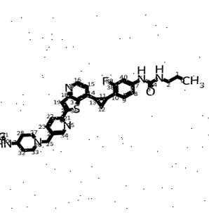 CCCNC(=O)Nc1ccc(C2CC2c2ccnc3cc(-c4ccc(CN5CCC(NC)CC5)cn4)sc23)c(F)c1